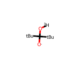 [3H]OC([O])(C(C)(C)C)C(C)(C)C